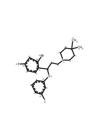 CC1(C)CCN(CCC(Oc2cccc(I)c2)c2ccc(F)cc2Br)CC1